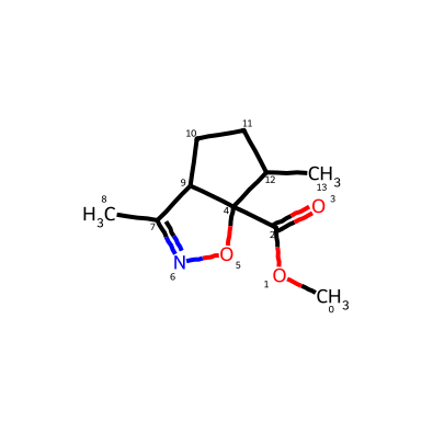 COC(=O)C12ON=C(C)C1CCC2C